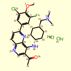 COc1c(F)cc(-c2ccc3ncc(C(C)=O)c(N[C@H]4CC[C@H](CN(C)C)CC4)c3n2)cc1Cl.Cl.Cl